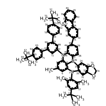 Cc1cc2c3c(c1)N(c1c(C)cc(C(C)(C)C)cc1C)c1cc4c(cc1B3c1ccc(-c3ccc5c(c3)sc3ccccc35)cc1N2c1cc(-c2ccc(C(C)(C)C)cc2)cc(-c2ccc(C(C)(C)C)cc2)c1)OCO4